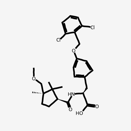 COC[C@]1(C)CC[C@H](C(=O)N[C@@H](Cc2ccc(OCc3c(Cl)cccc3Cl)cc2)C(=O)O)C1(C)C